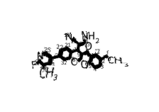 CCc1ccc2oc(=O)c3c(c2c1)OC(N)=C(C#N)C3c1ccc(-c2cnc(F)c(C)c2)cc1